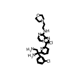 Cl.NCC(N)(c1cccc(Cl)c1)c1cccc(-c2cnc3c(NCCN4CCOCC4)nccn23)n1